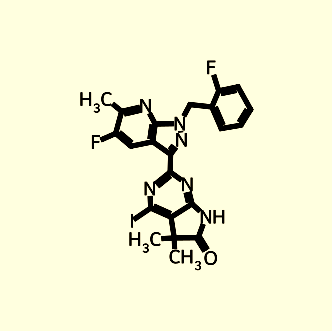 Cc1nc2c(cc1F)c(-c1nc(I)c3c(n1)NC(=O)C3(C)C)nn2Cc1ccccc1F